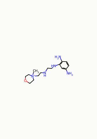 C[N+]1(CCNCCNc2cc(N)ccc2N)CCOCC1